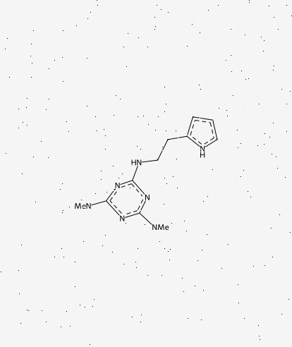 CNc1nc(NC)nc(NCCc2ccc[nH]2)n1